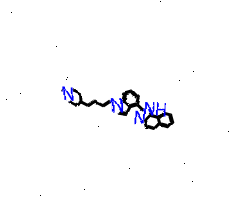 CN1CCC(CCCCn2ccc3c(-c4nc5ccc6ccccc6c5[nH]4)cccc32)CC1